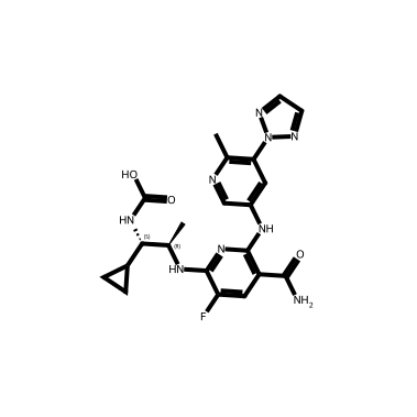 Cc1ncc(Nc2nc(N[C@H](C)[C@@H](NC(=O)O)C3CC3)c(F)cc2C(N)=O)cc1-n1nccn1